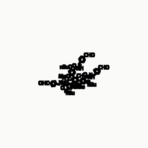 CCCCOc1cc(OC)c(-c2c(C)c(-c3cc(C(=O)N/N=C/c4ccc(C=O)cc4)c(OCCCC)cc3OC)c(C)c(-c3cc(C(=O)N/N=C/c4ccc(C=O)cc4)c(OCCCC)cc3OC)c2C)cc1C(=O)N/N=C/c1ccc(C=O)cc1